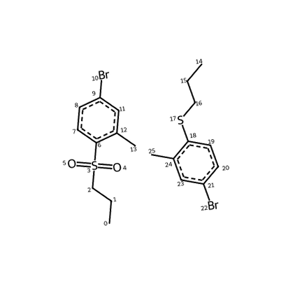 CCCS(=O)(=O)c1ccc(Br)cc1C.CCCSc1ccc(Br)cc1C